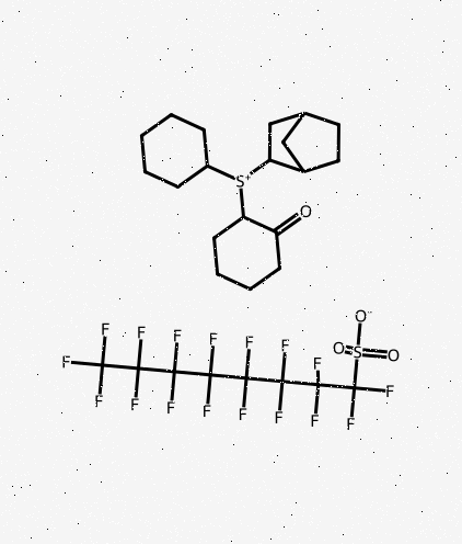 O=C1CCCCC1[S+](C1CCCCC1)C1CC2CCC1C2.O=S(=O)([O-])C(F)(F)C(F)(F)C(F)(F)C(F)(F)C(F)(F)C(F)(F)C(F)(F)C(F)(F)F